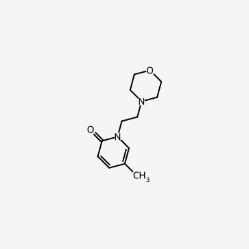 Cc1ccc(=O)n(CCN2CCOCC2)c1